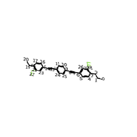 CCCc1ccc(C#Cc2ccc(C#Cc3ccc(CC)c(F)c3)cc2)cc1F